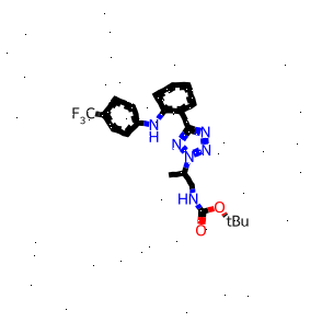 CC(CNC(=O)OC(C)(C)C)n1nnc(-c2ccccc2Nc2ccc(C(F)(F)F)cc2)n1